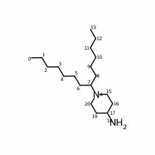 CCCCCCCC(CCCCCC)N1CCC(N)CC1